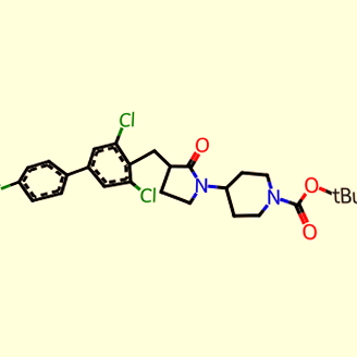 CC(C)(C)OC(=O)N1CCC(N2CCC(Cc3c(Cl)cc(-c4ccc(F)cc4)cc3Cl)C2=O)CC1